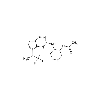 CC(=O)OC1COCCC1Nc1ncc2ccc(C(C)C(F)(F)F)n2n1